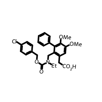 CCN(Cc1c(CC(=O)O)cc(OC)c(OC)c1-c1ccccc1)C(=O)OCc1ccc(Cl)cc1